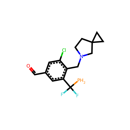 O=Cc1cc(Cl)c(CN2CCC3(CC3)C2)c(C(F)(F)P)c1